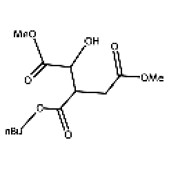 CCCCOC(=O)C(CC(=O)OC)C(O)C(=O)OC